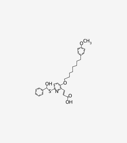 COc1ccc(CCCCCCCCOc2ccc(SC(O)c3ccccc3)nc2C=CC(=O)O)cc1